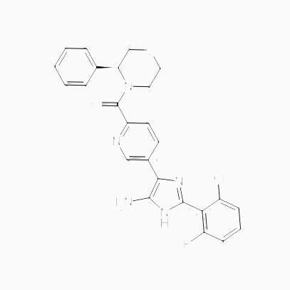 Nc1[nH]c(-c2c(F)cccc2Cl)nc1-c1ccc(C(=O)N2CCOC[C@@H]2c2ccccc2)nc1